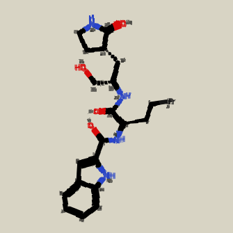 CC(C)CC[C@@H](NC(=O)c1cc2ccccc2[nH]1)C(=O)N[C@H](CO)C[C@@H]1CCNC1=O